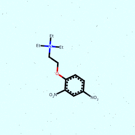 CC[N+](CC)(CC)CCOc1ccc([N+](=O)[O-])cc1[N+](=O)[O-]